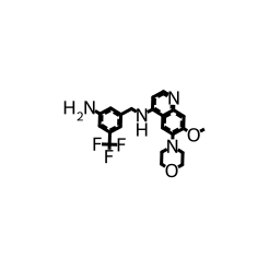 COc1cc2nccc(NCc3cc(N)cc(C(F)(F)F)c3)c2cc1N1CCOCC1